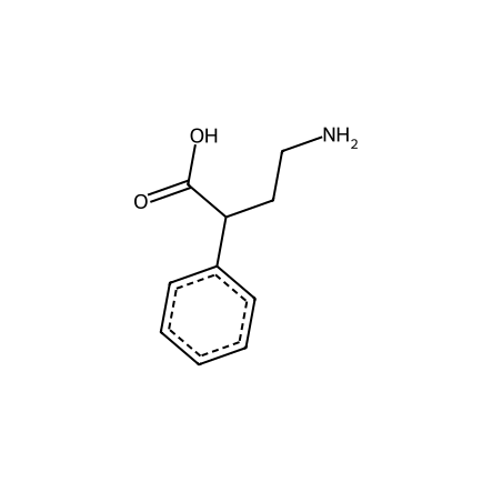 NCCC(C(=O)O)c1ccccc1